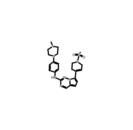 CN1CCN(c2ccc(Nc3ncc4ccc(C5=CCN(S(C)(=O)=O)CC5)n4n3)cc2)CC1